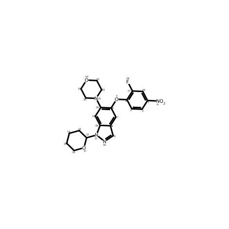 O=[N+]([O-])c1ccc(Oc2cc3cnn(C4CCCCO4)c3cc2N2CCOCC2)c(F)c1